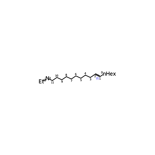 CCCCCC/C=C/CCCCCCCCC[N]CC